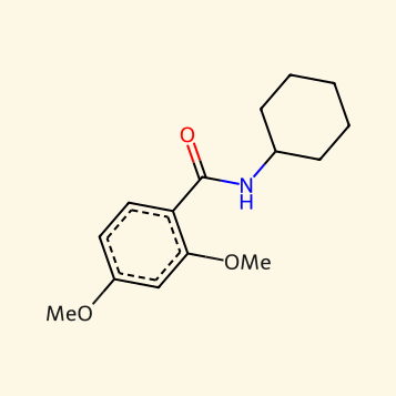 COc1ccc(C(=O)NC2CCCCC2)c(OC)c1